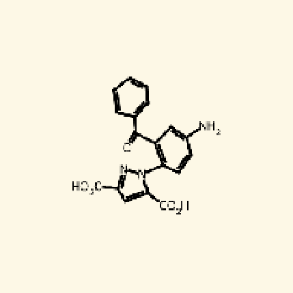 Nc1ccc(-n2nc(C(=O)O)cc2C(=O)O)c(C(=O)c2ccccc2)c1